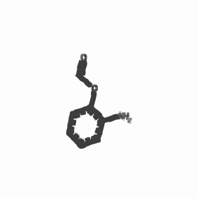 Nc1ccccc1O[C]=O